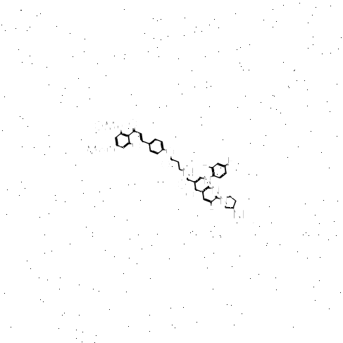 COc1cc(OC)c2c(=O)cc(-c3ccc(OC(=O)CCNC(=O)c4cn(-c5ccc(F)cc5F)c5nc(N6CCC(N)C6)c(F)cc5c4=O)cc3)oc2c1